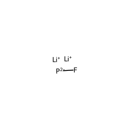 F[P-2].[Li+].[Li+]